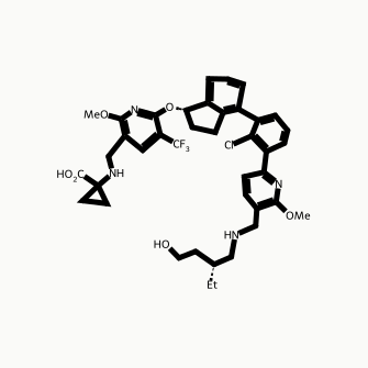 CC[C@H](CCO)CNCc1ccc(-c2cccc(-c3cccc4c3CC[C@@H]4Oc3nc(OC)c(CNC4(C(=O)O)CC4)cc3C(F)(F)F)c2Cl)nc1OC